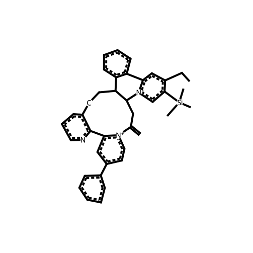 C=C1CC2C(CCc3cccnc3-c3cc(-c4ccccc4)cc[n+]31)c1ccccc1-c1cc(CC)c([Si](C)(C)C)c[n+]12